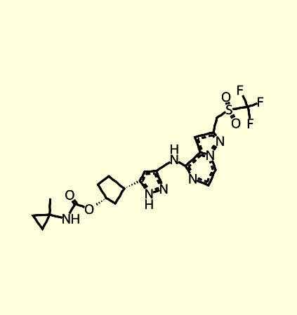 CC1(NC(=O)O[C@@H]2CC[C@H](c3cc(Nc4nccn5nc(CS(=O)(=O)C(F)(F)F)cc45)n[nH]3)C2)CC1